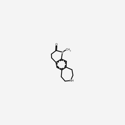 CN1C(=O)CCc2cc3c(cc21)CCNCC3